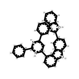 c1ccc(-c2cc(-c3cccc4oc5ccc(-c6nc7ccccc7o6)cc5c34)nc(-c3ccccc3)n2)cc1